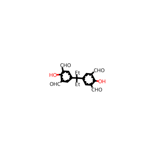 CCC(CC)(c1cc(C=O)c(O)c(C=O)c1)c1cc(C=O)c(O)c(C=O)c1